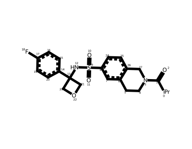 CC(C)C(=O)N1CCc2cc(S(=O)(=O)NC3(c4ccc(F)cc4)COC3)ccc2C1